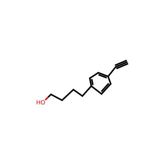 C#Cc1ccc(CCCCO)cc1